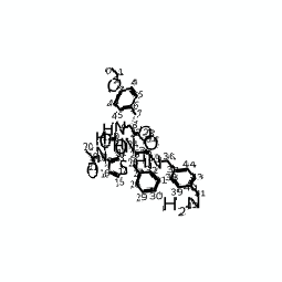 CCOc1ccc(C[C@@H](NC(=O)Oc2sccc2NC(C)=O)C(=O)N[C@@H](Cc2ccccc2)C(=O)NCc2ccc(CN)cc2)cc1